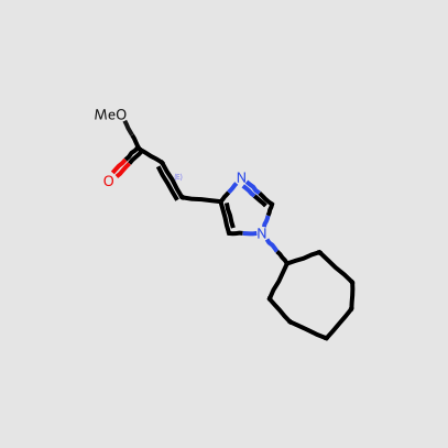 COC(=O)/C=C/c1cn(C2CCCCCC2)cn1